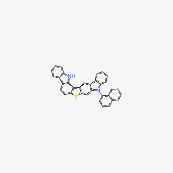 c1ccc2c(-n3c4ccccc4c4cc5c(cc43)sc3ccc4c6ccccc6[nH]c4c35)cccc2c1